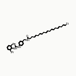 CCC=CCC=CCC=CCC=CCC=CCC=CCCC(=O)NCc1ccc(NC(=O)Nc2c(C(C)C)cccc2C(C)C)cc1